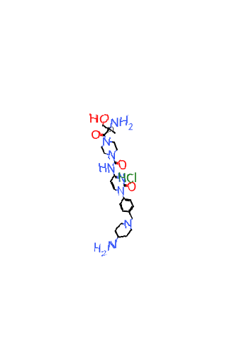 C[C@](N)(CO)C(=O)N1CCN(C(=O)Nc2ccn(-c3ccc(CN4CCC(N)CC4)cc3)c(=O)n2)CC1.Cl